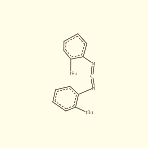 CC(C)(C)c1ccccc1N=C=Nc1ccccc1C(C)(C)C